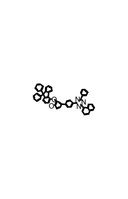 c1ccc(-c2nc(-c3ccc(-c4ccc5c(c4)Oc4c(ccc6c4-c4ccccc4C6(c4ccccc4)c4ccccc4)O5)cc3)nc(-c3cccc4ccccc34)n2)cc1